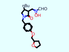 CCCCC1CN(Cc2ccc(OCC3CCCO3)cc2)C(=O)C1CN(O)C=O